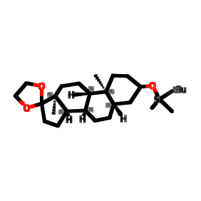 CC(C)(C)[Si](C)(C)OC1CC[C@@]2(C)[C@@H](CC[C@@H]3[C@@H]2CC[C@@]2(C)[C@H]3CCC23OCCO3)C1